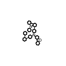 c1ccc(-c2ccccc2-c2ccc(N(c3ccc(-c4cccc5c6ccccc6n(-c6ccccc6)c45)cc3)c3ccc4oc5ccccc5c4c3)cc2)cc1